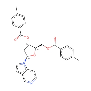 Cc1ccc(C(=O)OC[C@H]2O[C@@H](n3ccc4cnccc43)C[C@@H]2OC(=O)c2ccc(C)cc2)cc1